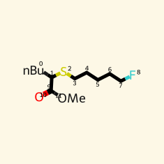 CCCCC(SCCCCCF)C(=O)OC